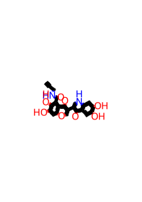 C#CCNC(=O)c1c(O)c(O)cc2occ(-c3c[nH]c4cc(O)c(O)cc4c3=O)c(=O)c12